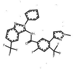 Cn1ccc(-c2cc(C(=O)Nc3c4cc(C(F)(F)F)ccc4nn3-c3ccccc3)c(F)cc2C(F)(F)F)n1